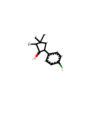 CCC1C(=O)C(c2ccc(F)cc2)CC1(C)C